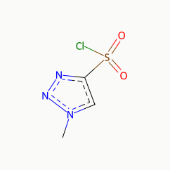 Cn1cc(S(=O)(=O)Cl)nn1